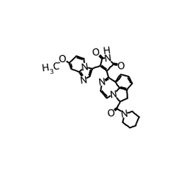 COc1ccn2c(C3=C(C4=NC=CN5c6c(cccc64)CC5C(=O)N4CCCCC4)C(=O)NC3=O)cnc2c1